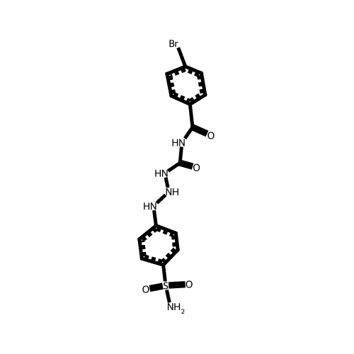 NS(=O)(=O)c1ccc(NNNC(=O)NC(=O)c2ccc(Br)cc2)cc1